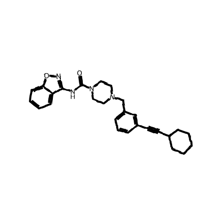 O=C(Nc1noc2ccccc12)N1CCN(Cc2cccc(C#CC3CCCCC3)c2)CC1